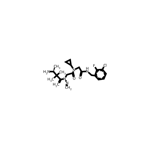 C=NN(CC(=O)N(CC(=O)NCc1cccc(Cl)c1F)C1CC1)C(=C)C(C)(C)[C@H](C)N